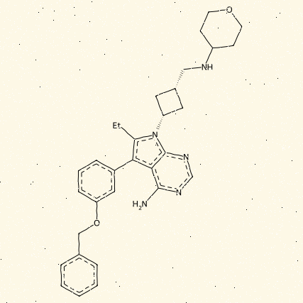 CCc1c(-c2cccc(OCc3ccccc3)c2)c2c(N)ncnc2n1[C@H]1C[C@@H](CNC2CCOCC2)C1